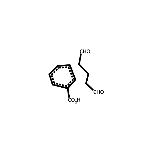 O=C(O)c1ccccc1.O=CCCCC=O